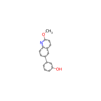 COc1ccc2cc(-c3cccc(O)c3)ccc2n1